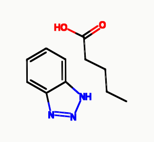 CCCCC(=O)O.c1ccc2[nH]nnc2c1